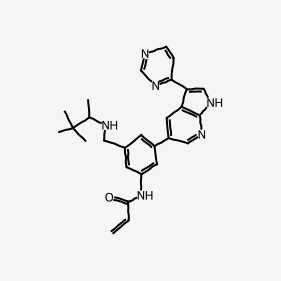 C=CC(=O)Nc1cc(CNC(C)C(C)(C)C)cc(-c2cnc3[nH]cc(-c4ccncn4)c3c2)c1